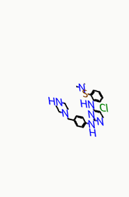 CN(C)Sc1ccccc1Nc1nc(Nc2ccc(CN3CCNCC3)cc2)ncc1Cl